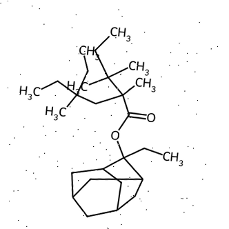 CCC(C)(CC)CC(C)(C(=O)OC1(CC)C2CC3CC(C2)CC1C3)C(C)(C)CC